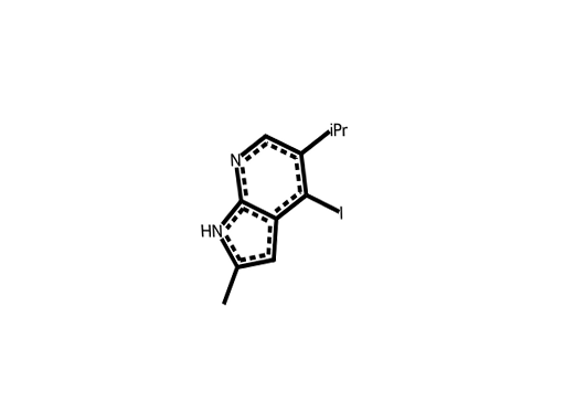 Cc1cc2c(I)c(C(C)C)cnc2[nH]1